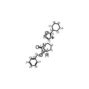 O=C1N2C[C@@H](CC[C@H]2c2noc(C3CCCCC3)n2)N1OCc1ccccc1